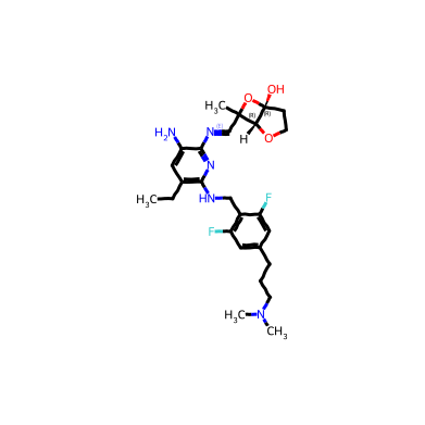 CCc1cc(N)c(/N=C/C2(C)O[C@]3(O)CCO[C@H]23)nc1NCc1c(F)cc(CCCN(C)C)cc1F